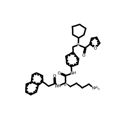 NCCCC[C@@H](NC(=O)Cc1cccc2ccccc12)C(=O)Nc1ccc(CN(C(=O)c2ccco2)C2CCCCC2)cc1